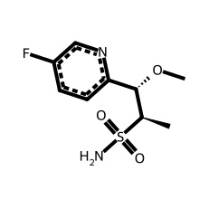 CO[C@@H](c1ccc(F)cn1)[C@@H](C)S(N)(=O)=O